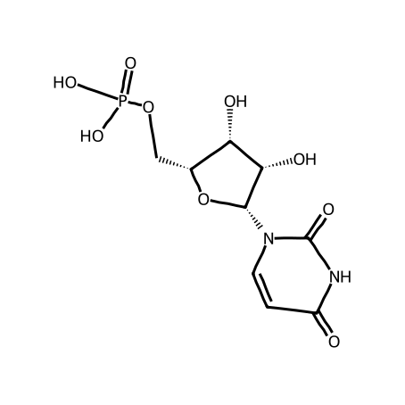 O=c1ccn([C@@H]2O[C@H](COP(=O)(O)O)[C@H](O)[C@@H]2O)c(=O)[nH]1